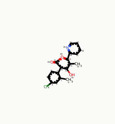 Cc1cc(Cl)ccc1-c1c(O)c(C)c(-c2ccccn2)oc1=O